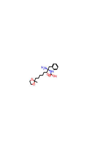 CC1(CCCCC[C@@H](O)[C@](N)(Cc2ccccc2)NC(=O)O)OCCO1